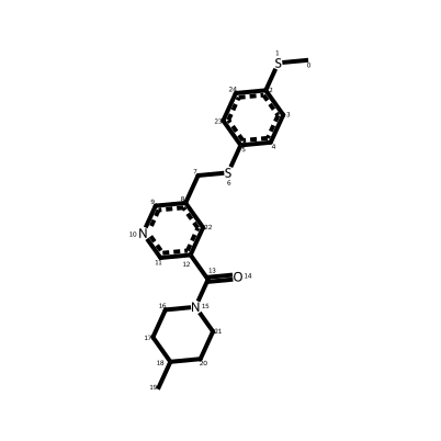 CSc1ccc(SCc2cncc(C(=O)N3CCC(C)CC3)c2)cc1